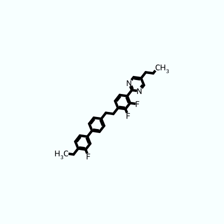 CCCc1cnc(-c2ccc(CCc3ccc(-c4ccc(CC)c(F)c4)cc3)c(F)c2F)nc1